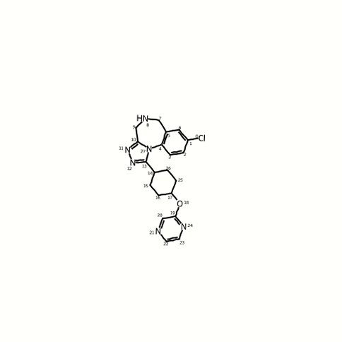 Clc1ccc2c(c1)CNCc1nnc(C3CCC(Oc4cnccn4)CC3)n1-2